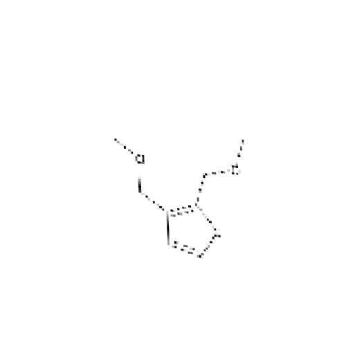 COCc1ccoc1COC